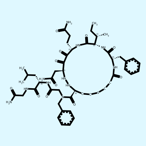 CC[C@H](C)[C@@H]1NC(=O)[C@H](Cc2ccccc2)NC(=O)CCSCC[C@@H](C(=O)N(CC(=O)N[C@@H](CC(C)C)C(=O)NCC(N)=O)Cc2ccccc2)NN[C@@H](CC(N)=O)C(=O)C(=O)[C@H](CCC(N)=O)NC1=O